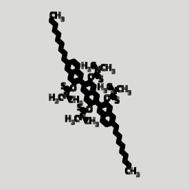 CCCCCCCCCCc1ccc2cc(-c3cc4cc(OC(=S)N(C)C)c(-c5cc6ccc(CCCCCCCCCC)cc6cc5OC(=S)N(C)C)cc4cc3OC(=S)N(C)C)c(OC(=S)N(C)C)cc2c1